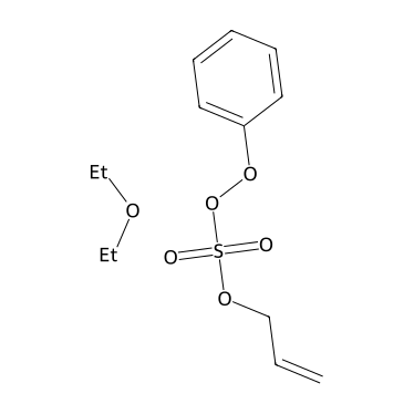 C=CCOS(=O)(=O)OOc1ccccc1.CCOCC